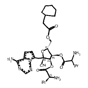 CC(C)C(N)C(=O)O[C@H]1[C@@H](OC(=O)[C@@H](N)C(C)C)[C@](C#N)(c2ccc3c(N)ncnn23)O[C@@H]1COC(=O)CC1CCCCC1